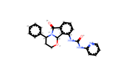 O=C(Nc1ccccn1)Nc1cccc2c1C1OCCC(c3ccccc3)N1C2=O